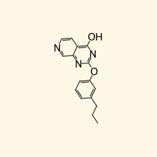 CCCc1cccc(Oc2nc(O)c3ccncc3n2)c1